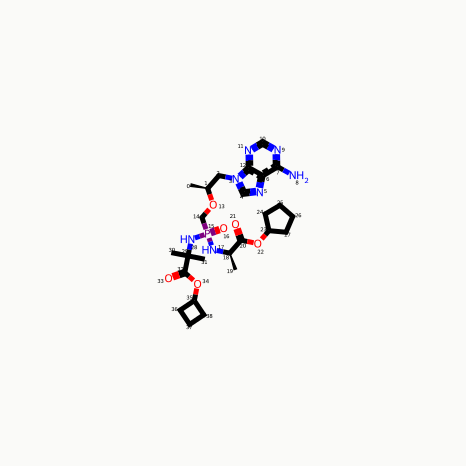 C[C@@H](Cn1cnc2c(N)ncnc21)OCP(=O)(N[C@H](C)C(=O)OC1CCCC1)NC(C)(C)C(=O)OC1CCC1